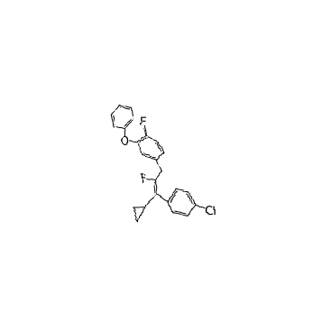 FC(Cc1ccc(F)c(Oc2ccccc2)c1)=C(c1ccc(Cl)cc1)C1CC1